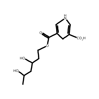 CC(O)CC(O)CCOC(=O)C1=CNC=C(C(=O)O)C1